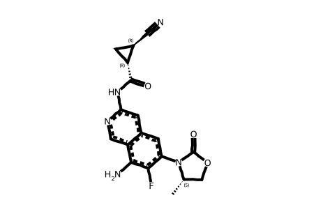 C[C@H]1COC(=O)N1c1cc2cc(NC(=O)[C@@H]3C[C@H]3C#N)ncc2c(N)c1F